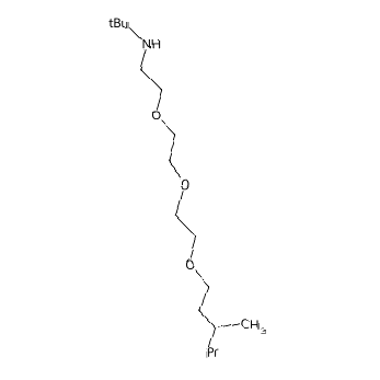 CC(C)C(C)CCOCCOCCOCCNC(C)(C)C